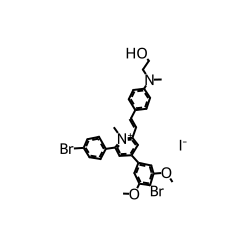 COc1cc(-c2cc(/C=C/c3ccc(N(C)CCO)cc3)[n+](C)c(-c3ccc(Br)cc3)c2)cc(OC)c1Br.[I-]